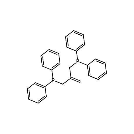 C=C(CP(c1ccccc1)c1ccccc1)CP(c1ccccc1)c1ccccc1